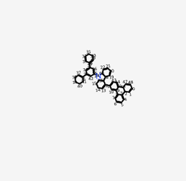 C1=CC2c3ccccc3-c3cc(C4=CCCC5C4C4C=CC=CC4N5c4cc(C5=CCCC=C5)cc(C5=CCCCC5)c4)ccc3C2C=C1